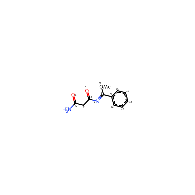 COC(=NC(=O)CC(N)=O)c1ccccc1